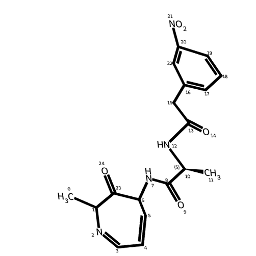 CC1N=CC=CC(NC(=O)[C@H](C)NC(=O)Cc2cccc([N+](=O)[O-])c2)C1=O